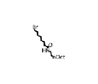 CCCCCCCCCCNC(=O)CCCCCCCBr